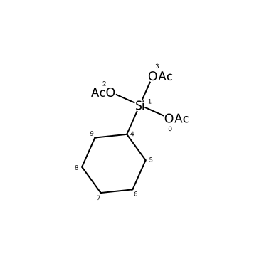 CC(=O)O[Si](OC(C)=O)(OC(C)=O)C1CCCCC1